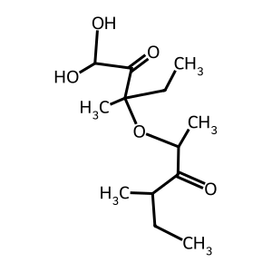 CCC(C)C(=O)C(C)OC(C)(CC)C(=O)C(O)O